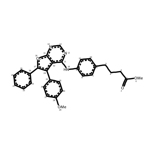 COC(=O)CCCc1ccc(Nc2ncnc3oc(-c4ccccc4)c(-c4ccc(OC)cc4)c23)cc1